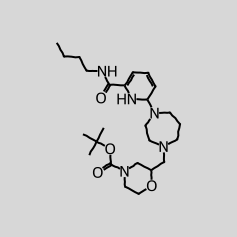 CCCCNC(=O)C1=CC=CC(N2CCCN(CC3CN(C(=O)OC(C)(C)C)CCO3)CC2)N1